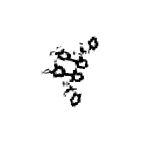 CC(C)c1cc(-c2c(NC(=O)Oc3ccccc3)cccc2Oc2cccc(NC(=O)Oc3ccccc3)c2-c2ccc(O)c(C(C)C)c2)ccc1O